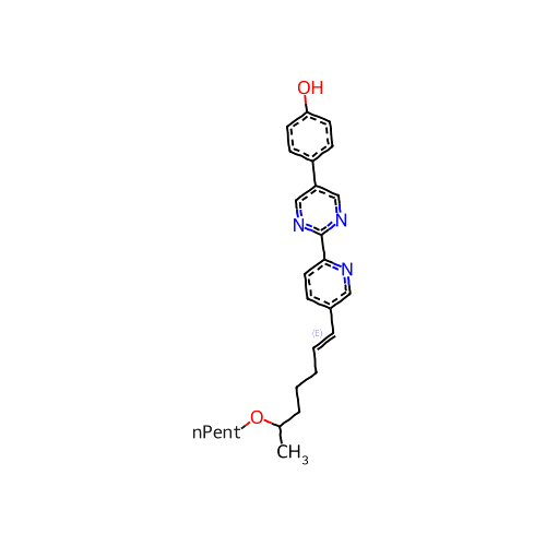 CCCCCOC(C)CCC/C=C/c1ccc(-c2ncc(-c3ccc(O)cc3)cn2)nc1